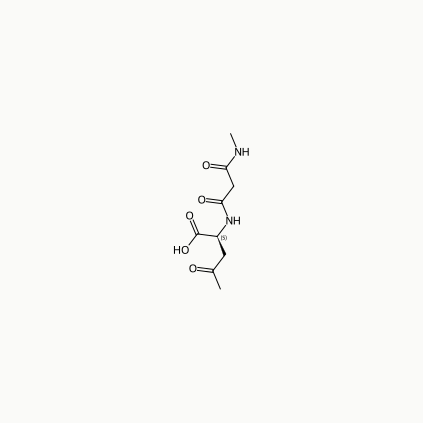 CNC(=O)CC(=O)N[C@@H](CC(C)=O)C(=O)O